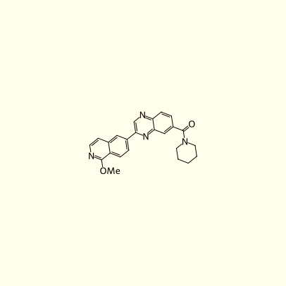 COc1nccc2cc(-c3cnc4ccc(C(=O)N5CCCCC5)cc4n3)ccc12